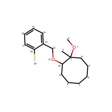 COC1(C)CCCCCCC1OCc1ccccc1F